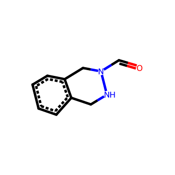 O=CN1Cc2ccccc2CN1